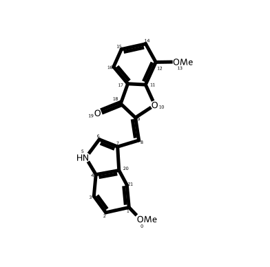 COc1ccc2[nH]cc(C=C3Oc4c(OC)cccc4C3=O)c2c1